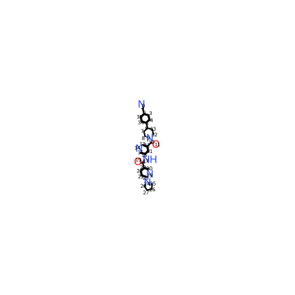 N#Cc1ccc(C2CCN(C(=O)c3cncc(NC(=O)c4ccc(N5CCCC5)nc4)c3)CC2)cc1